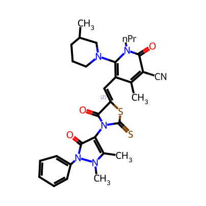 CCCn1c(N2CCCC(C)C2)c(/C=C2\SC(=S)N(c3c(C)n(C)n(-c4ccccc4)c3=O)C2=O)c(C)c(C#N)c1=O